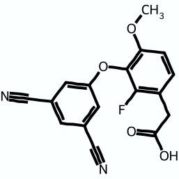 COc1ccc(CC(=O)O)c(F)c1Oc1cc(C#N)cc(C#N)c1